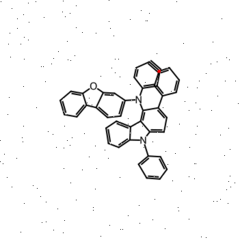 c1ccc(N(c2ccc3c(c2)oc2ccccc23)c2c(-c3ccccc3)ccc3c2c2ccccc2n3-c2ccccc2)cc#1